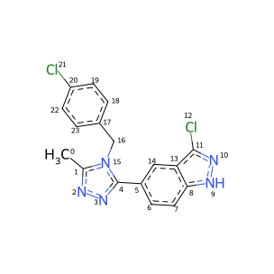 Cc1nnc(-c2ccc3[nH]nc(Cl)c3c2)n1Cc1ccc(Cl)cc1